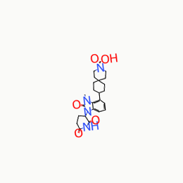 Cn1c(=O)n(C2CCC(=O)NC2=O)c2cccc(C3CCC4(CC3)CCN(C(=O)O)CC4)c21